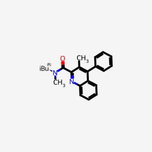 CC[C@@H](C)N(C)C(=O)c1nc2ccccc2c(-c2ccccc2)c1C